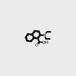 CCN(CC)c1ccc2ccccc2c1C(=O)O